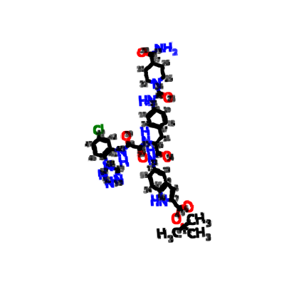 CC(C)(C)OC(=O)c1cc2cc(NC(=O)[C@H](Cc3ccc(NC(=O)N4CCC(C(N)=O)CC4)cc3)NC(=O)C(=O)Nc3cc(Cl)ccc3-n3cnnn3)ccc2[nH]1